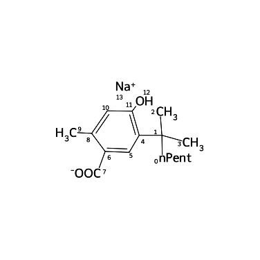 CCCCCC(C)(C)c1cc(C(=O)[O-])c(C)cc1O.[Na+]